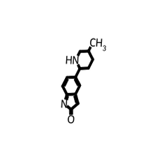 CC1CCC(c2ccc3c(c2)=CC(=O)N=3)NC1